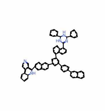 C1=CC2=c3ccncc3=C(c3ccc4cc(-c5cc(-c6ccc(-c7ccc8ccccc8c7)cc6)cc(-c6cccc7c(C8=NC(c9ccccc9)NC(c9ccccc9)N8)cccc67)c5)ccc4c3)NC2C=C1